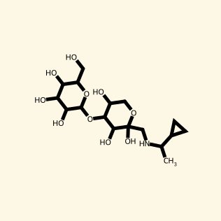 CC(NCC1(O)OCC(O)C(OC2OC(CO)C(O)C(O)C2O)C1O)C1CC1